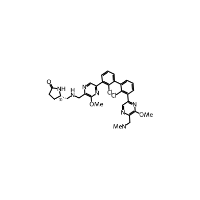 CNCc1ncc(-c2cccc(-c3cccc(-c4cnc(CNC[C@@H]5CCC(=O)N5)c(OC)n4)c3Cl)c2Cl)nc1OC